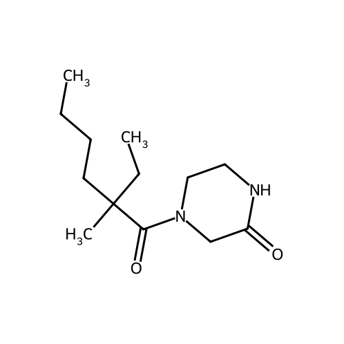 CCCCC(C)(CC)C(=O)N1CCNC(=O)C1